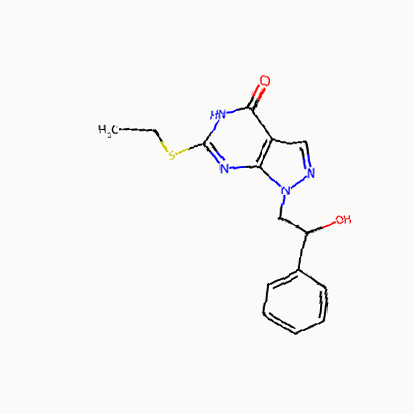 CCSc1nc2c(cnn2CC(O)c2ccccc2)c(=O)[nH]1